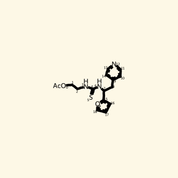 CC(=O)OCCNC(=S)NC(Cc1ccncc1)c1ccco1